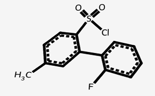 Cc1ccc(S(=O)(=O)Cl)c(-c2ccccc2F)c1